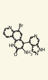 Nc1c(-c2cncc3[nH]ncc23)c2cc(Br)c3ncccc3c2[nH]c1=O